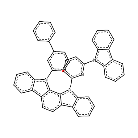 c1ccc(-c2cccc(-n3c4ccccc4c4ccc5c6ccccc6n(-c6cccc(-n7c8ccccc8c8ccccc87)n6)c5c43)c2)cc1